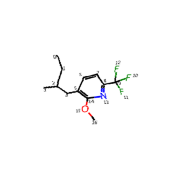 CCC(C)Cc1ccc(C(F)(F)F)nc1OC